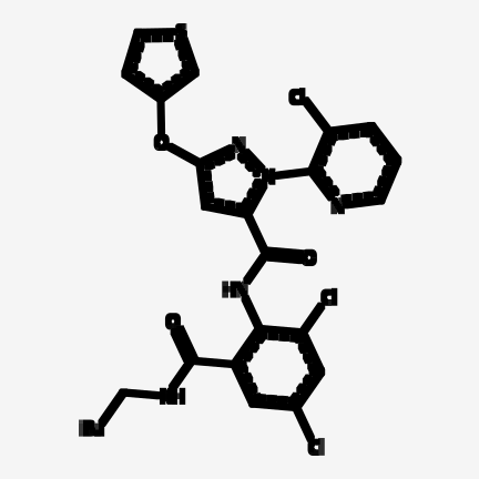 CCC(C)CNC(=O)c1cc(Cl)cc(Cl)c1NC(=O)c1cc(Oc2ccsc2)nn1-c1ncccc1Cl